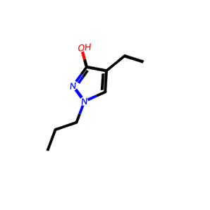 CCCn1cc(CC)c(O)n1